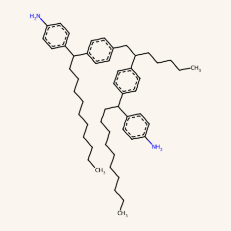 CCCCCCCCCCC(c1ccc(N)cc1)c1ccc(CC(CCCCC)c2ccc(C(CCCCCCCCCC)c3ccc(N)cc3)cc2)cc1